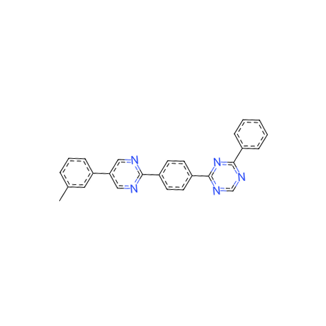 Cc1cccc(-c2cnc(-c3ccc(-c4ncnc(-c5ccccc5)n4)cc3)nc2)c1